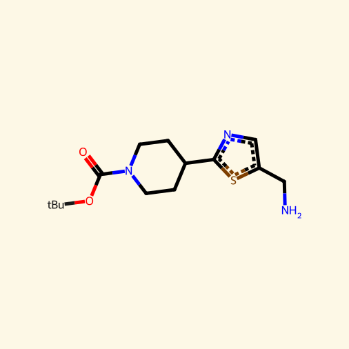 CC(C)(C)OC(=O)N1CCC(c2ncc(CN)s2)CC1